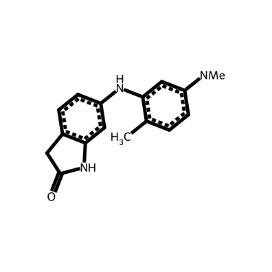 CNc1ccc(C)c(Nc2ccc3c(c2)NC(=O)C3)c1